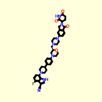 N#Cc1c[nH]c2c(N3CCC(c4ccc(N5CCO[C@H](CN6CCN(c7ccc8c(c7)CN(C7CCC(=O)NC7=O)C8=O)CC6)C5)cc4)CC3)ccc(F)c12